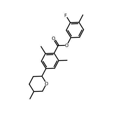 Cc1ccc(OC(=O)c2c(C)cc(C3CCC(C)CO3)cc2C)cc1F